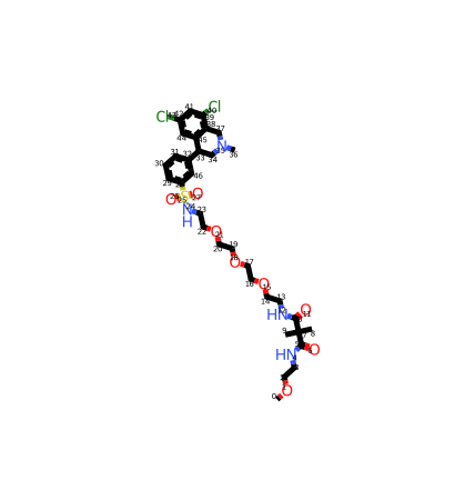 COCCNC(=O)C(C)(C)C(=O)NCCOCCOCCOCCNS(=O)(=O)c1cccc(C2CN(C)Cc3c(Cl)cc(Cl)cc32)c1